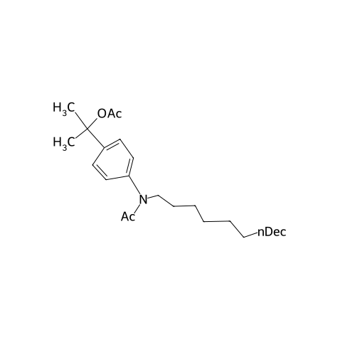 CCCCCCCCCCCCCCCCN(C(C)=O)c1ccc(C(C)(C)OC(C)=O)cc1